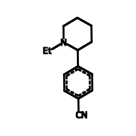 CCN1CCCCC1c1ccc(C#N)cc1